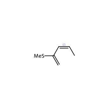 C=C(/C=C\C)SC